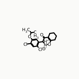 CC(C)Oc1cc(C2C(=O)C3=C(CCCC3)O[NH+]2[O-])c(Cl)cc1Cl